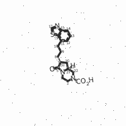 O=C(O)N1CCN2C(=O)[C@@H](CCCc3cccc4ncsc34)C[C@H]2C1